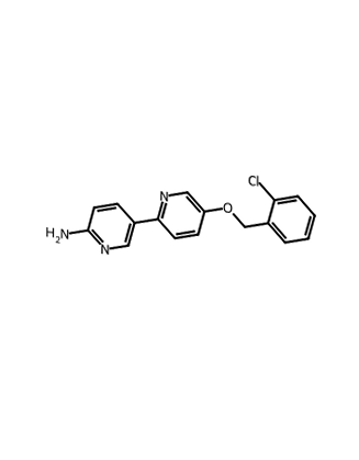 Nc1ccc(-c2ccc(OCc3ccccc3Cl)cn2)cn1